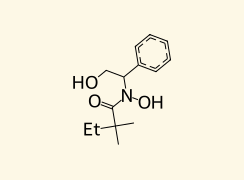 CCC(C)(C)C(=O)N(O)C(CO)c1ccccc1